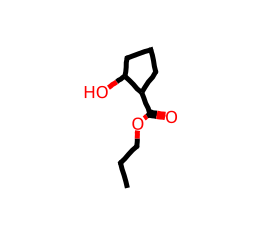 CCCOC(=O)C1CCCC1O